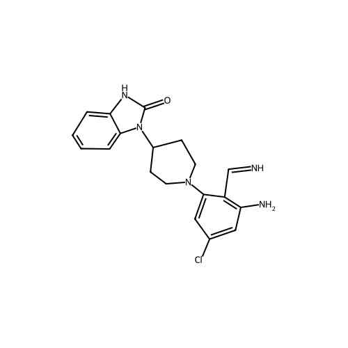 N=Cc1c(N)cc(Cl)cc1N1CCC(n2c(=O)[nH]c3ccccc32)CC1